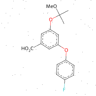 COC(C)(C)Oc1cc(Oc2ccc(F)cc2)cc(C(=O)O)c1